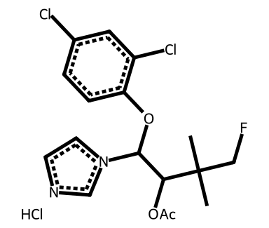 CC(=O)OC(C(Oc1ccc(Cl)cc1Cl)n1ccnc1)C(C)(C)CF.Cl